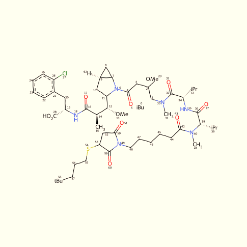 CC[C@H](C)C(C(CC(=O)N1C2C[C@@H]2CC1[C@H](OC)[C@@H](C)C(=O)N[C@@H](Cc1ccccc1Cl)C(=O)O)OC)N(C)C(=O)[C@@H](NC(=O)[C@H](C(C)C)N(C)C(=O)CCCCCN1C(=O)CC(SCCCC(C)(C)C)C1=O)C(C)C